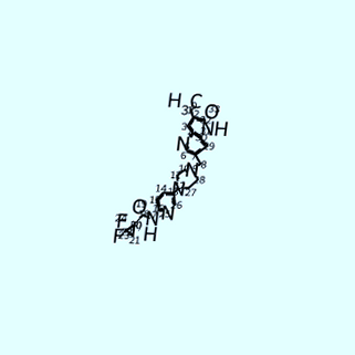 CCc1cc2ncc(CN3CCN(c4ccc(NC(=O)[C@H]5CC5(F)F)nc4)CC3)cc2[nH]c1=O